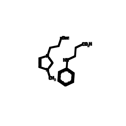 CCCCCCCCCCCCN1C=CN(C)C1.O=C(O)CCNc1ccccc1